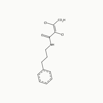 O=C(O)C(Cl)=C(Cl)C(=O)NCCCc1ccccc1